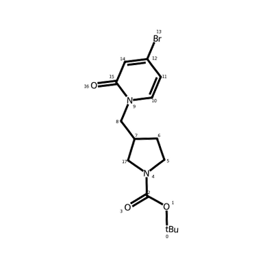 CC(C)(C)OC(=O)N1CCC(Cn2ccc(Br)cc2=O)C1